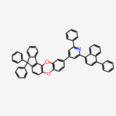 c1ccc(-c2cc(-c3ccc4c(c3)Oc3c(ccc5c3-c3ccccc3C5(c3ccccc3)c3ccccc3)O4)cc(-c3ccc(-c4ccccc4)c4ccccc34)n2)cc1